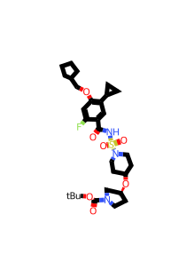 CC(C)(C)OC(=O)N1CC[C@H](OC2CCN(S(=O)(=O)NC(=O)c3cc(C4CC4)c(OCC4CCCC4)cc3F)CC2)C1